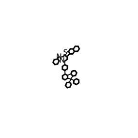 c1ccc(C2(c3ccccc3)c3ccccc3-c3c(-c4ccc(-c5cc6c7cc8ccccc8cc7sc6c6nc7ccccc7n56)cc4)cccc32)cc1